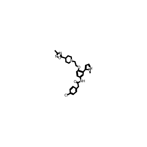 Cc1noc(C2CCN(CCOc3ccc(NC(=O)Cc4ccc(Cl)cc4)cc3-c3ccnn3C)CC2)n1